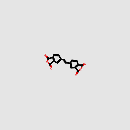 O=C1OC(=O)c2cc(C=Cc3ccc4c(c3)C(=O)OC4=O)ccc21